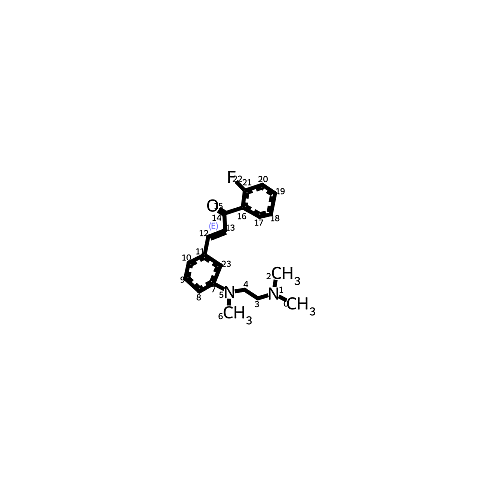 CN(C)CCN(C)c1cccc(/C=C/C(=O)c2ccccc2F)c1